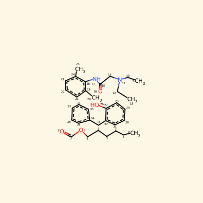 CCCCCCOC=O.CCN(CC)CC(=O)Nc1c(C)cccc1C.Oc1ccccc1Cc1ccccc1